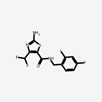 Nc1nc(C(F)F)c(C(=O)NCc2ccc(F)cc2I)s1